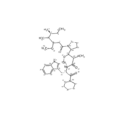 CC[C@H](C)C(C)C(CC(=O)N1CCCC1C(OC)C(C)C(=O)N[C@@H](Cc1c[nH]c2ccccc12)C(=O)N1CCCCO1)OC